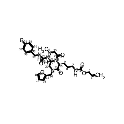 C=CCOC(=O)NCCC[C@H]1C(=O)N(Cc2ccco2)C[C@H]2N1C(=O)CN(C)N2C(=O)NCc1ccc(F)cc1